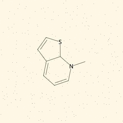 CN1C=CC=C2C=CSC21